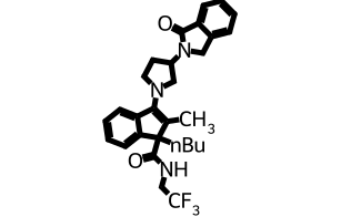 CCCCC1(C(=O)NCC(F)(F)F)C(C)=C(N2CCC(N3Cc4ccccc4C3=O)C2)c2ccccc21